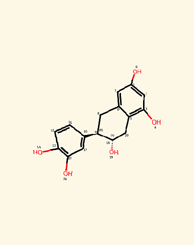 Oc1cc(O)c2c(c1)C[C@H](c1ccc(O)c(O)c1)[C@@H](O)C2